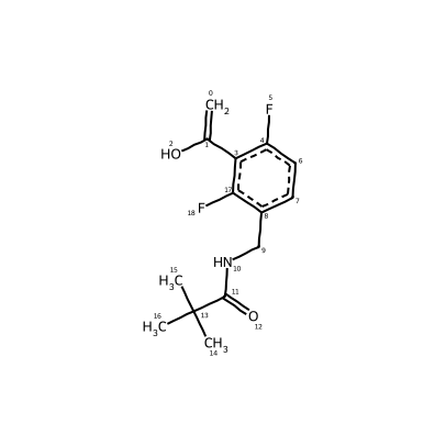 C=C(O)c1c(F)ccc(CNC(=O)C(C)(C)C)c1F